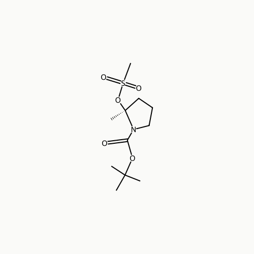 CC(C)(C)OC(=O)N1CCC[C@]1(C)OS(C)(=O)=O